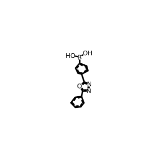 OB(O)c1ccc(-c2nnc(-c3ccccc3)o2)cc1